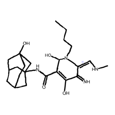 CCCCN1/C(=C/NC)C(=N)C(O)=C(C(=O)NC23CC4CC(CC(O)(C4)C2)C3)C1O